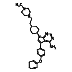 CN1CCN(CCC2CCC(n3cc(-c4ccc(Oc5ccccc5)cc4)c4c(N)ncnc43)CC2)CC1